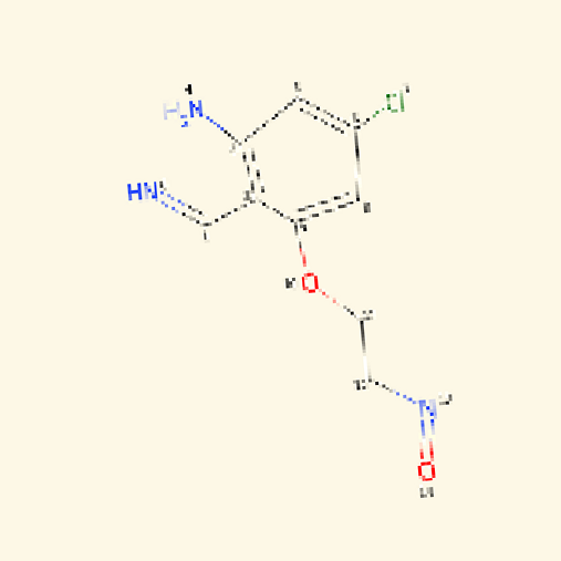 N=Cc1c(N)cc(Cl)cc1OCCN=O